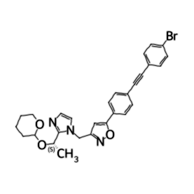 C[C@H](OC1CCCCO1)c1nccn1Cc1cc(-c2ccc(C#Cc3ccc(Br)cc3)cc2)on1